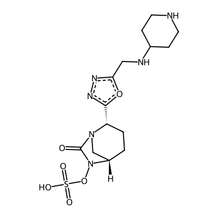 O=C1N2C[C@H](CC[C@H]2c2nnc(CNC3CCNCC3)o2)N1OS(=O)(=O)O